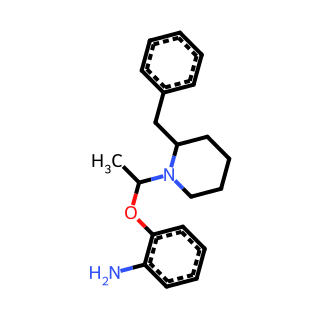 CC(Oc1ccccc1N)N1CCCCC1Cc1ccccc1